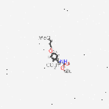 COCCCOc1ccc(C(NC(=O)OC(C)(C)C)C(=O)O)cc1